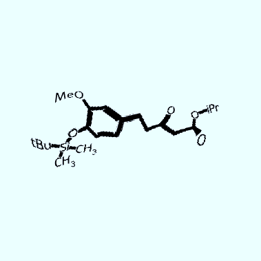 COc1cc(CCC(=O)CC(=O)OC(C)C)ccc1O[Si](C)(C)C(C)(C)C